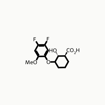 COc1cc(F)c(F)cc1OC1CCC[C@H](C(=O)O)[C@H]1O